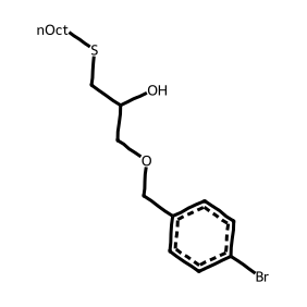 CCCCCCCCSCC(O)COCc1ccc(Br)cc1